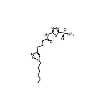 CCCCCCn1cc(CCCC(=O)Nc2nnc(S(N)(=O)=O)s2)nn1